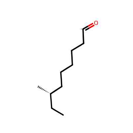 CC[C@H](C)CCCCC[C]=O